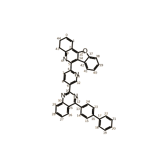 C1=Cc2c(nc(-c3ccc(-c4nc(-c5ccc(-c6ccccc6)cc5)c5ccccc5n4)cn3)c3c2oc2ccccc23)CC1